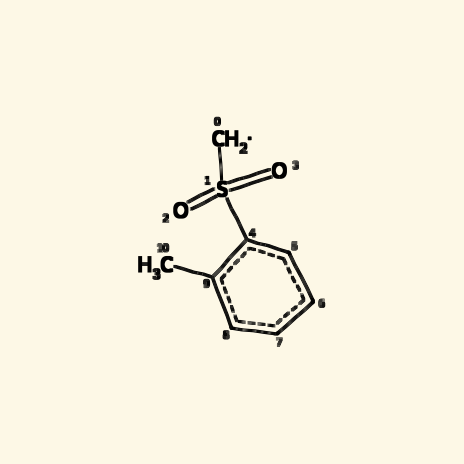 [CH2]S(=O)(=O)c1ccccc1C